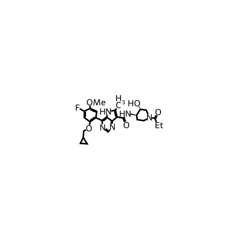 CCC(=O)N1CC[C@@H](NC(=O)c2c(C)[nH]c3c(-c4cc(OC)c(F)cc4OCC4CC4)ncnc23)[C@H](O)C1